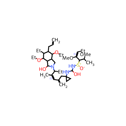 C=CCC1C(CC)C(OCC)C2C(CN(C(CC)/C(C)=C\C(=C)CC3(NC(O)N[S+]([O-])C(/C(=C\CC)OC)C(C)OC)CC3)C2O)C1OCC